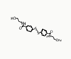 O=C(NCCO)c1ccc(SSc2ccc(C(=O)NCCO)cc2)cc1